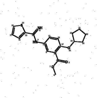 COC(=O)c1cc(NC(=N)c2cccs2)ccc1OC1CCCC1